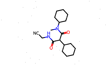 CN(C(=O)C(C(=O)NCC#N)C1CCCCC1)C1CCCCC1